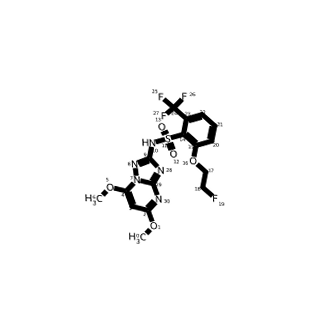 COc1cc(OC)n2nc(NS(=O)(=O)c3c(OCCF)cccc3C(F)(F)F)nc2n1